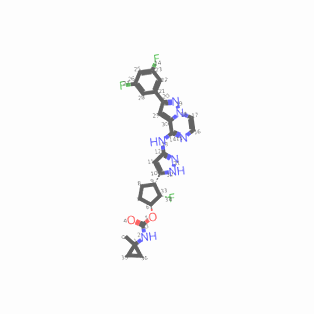 CC1(NC(=O)O[C@@H]2CC[C@H](c3cc(Nc4nccn5nc(-c6cc(F)cc(F)c6)cc45)n[nH]3)[C@@H]2F)CC1